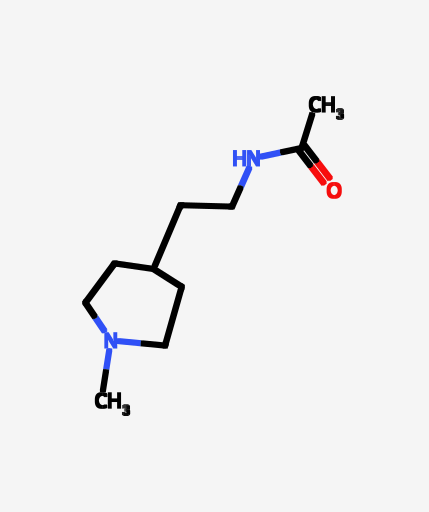 CC(=O)NCCC1CCN(C)CC1